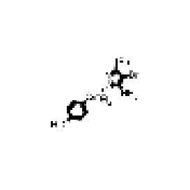 Cc1ccc(OO[SH4]n2nc(C(C)(C)C)c(Br)c2N)cc1